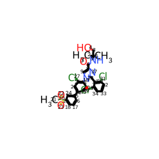 CC(C)(CO)NC(=O)c1cn(-c2ccc(-c3cccc(S(C)(=O)=O)c3)cc2Cl)c(-c2c(Cl)cccc2Cl)n1